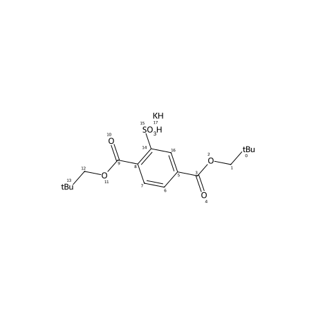 CC(C)(C)COC(=O)c1ccc(C(=O)OCC(C)(C)C)c(S(=O)(=O)O)c1.[KH]